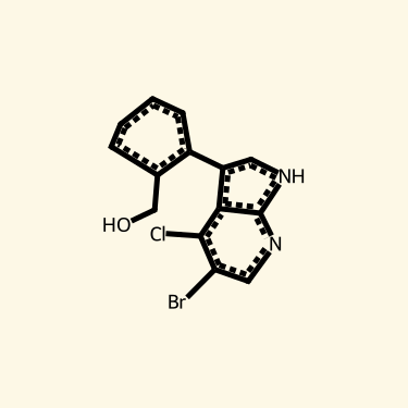 OCc1ccccc1-c1c[nH]c2ncc(Br)c(Cl)c12